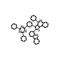 c1ccc(-c2nc(-c3ccccc3)nc(-c3cccc(-c4c(-c5cccc6c5sc5ccccc56)sc5c4c(-c4ccccc4)nc4ccccc45)c3)n2)cc1